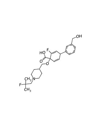 CC(C)(F)CN1CCC(COC2(C(=O)O)C=CC(c3cccc(CO)c3)C=C2F)CC1